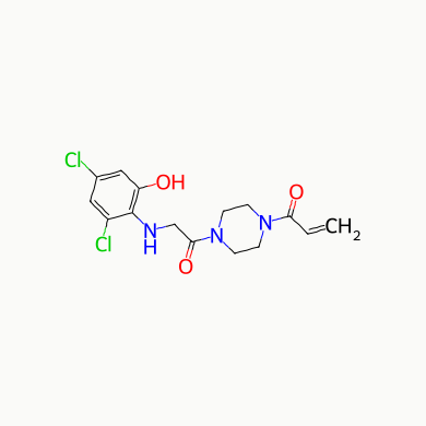 C=CC(=O)N1CCN(C(=O)CNc2c(O)cc(Cl)cc2Cl)CC1